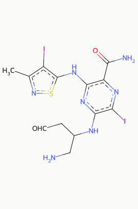 Cc1nsc(Nc2nc(NC(CN)CC=O)c(I)nc2C(N)=O)c1I